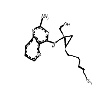 CCCCC[C@@H]1C[C@@]1(CO)Nc1nc(N)nc2cccnc12